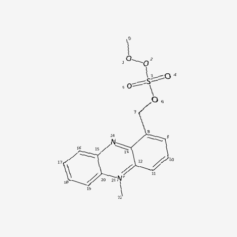 COOS(=O)(=O)OCc1cccc2c1nc1ccccc1[n+]2C